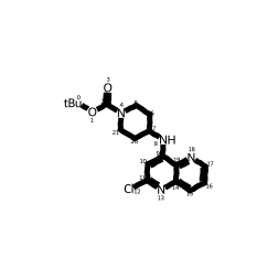 CC(C)(C)OC(=O)N1CCC(Nc2cc(Cl)nc3cccnc23)CC1